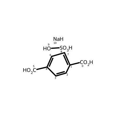 O=C(O)c1ccc(C(=O)O)cc1.O=S(=O)(O)O.[NaH]